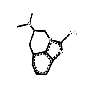 CN(C)C1Cc2cccc3nc(N)n(c23)C1